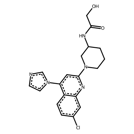 O=C(CO)NC1CCCN(c2cc(-n3ccnc3)c3ccc(Cl)cc3n2)C1